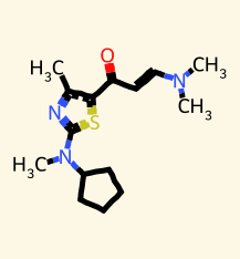 Cc1nc(N(C)C2CCCC2)sc1C(=O)C=CN(C)C